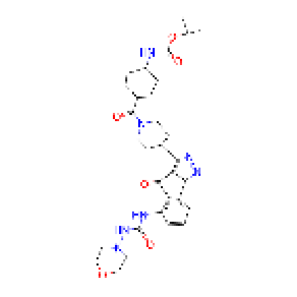 CC(C)(C)OC(=O)NC1CCC(C(=O)N2CCC(C3=C4C(=O)c5c(NC(=O)NN6CCOCC6)cccc5C4N=N3)CC2)CC1